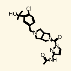 CC(=O)Nc1ccn(C(=O)N2CC3CN(Cc4ccc(Cl)c(C(C)(C)O)c4)CC3C2)n1